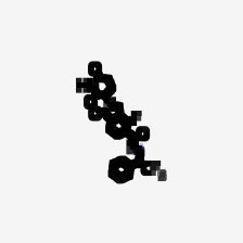 O=C1CCC(N2Cc3c(ccc(C(=O)/N=C/C(c4ccccc4)C(F)(F)F)c3F)C2=O)C(=O)N1